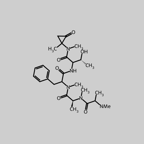 CNC(C)C(=O)N(C)[C@@H](C)C(=O)N(C)C(Cc1ccccc1)C(=O)NC(C(=O)N(C)C1(C)CC1=O)[C@@H](C)O